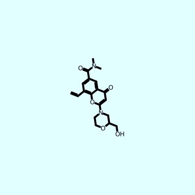 C=Cc1cc(C(=O)N(C)C)cc2c(=O)cc(N3CCOC(CO)C3)oc12